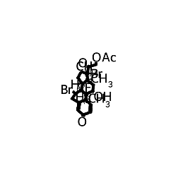 CC(=O)OCC(=O)[C@@]1(Br)C(C)C[C@H]2[C@@H]3C(Br)CC4=CC(=O)C=C[C@]4(C)[C@@]3(F)C(O)C[C@@]21C